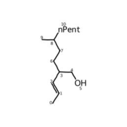 CC=CC(CO)CCC(C)CCCCC